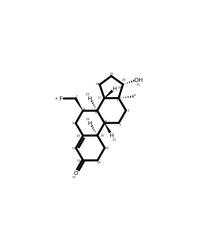 C[C@]12CC[C@H]3[C@@H]([C@H](CF)CC4=CC(=O)CC[C@@H]43)[C@@H]1CC[C@@H]2O